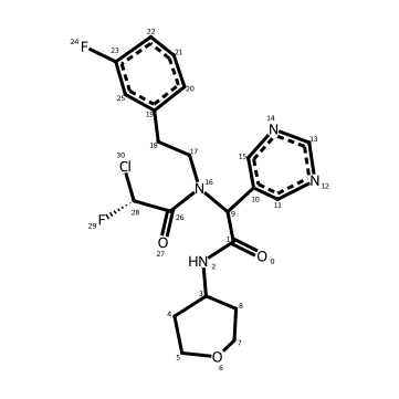 O=C(NC1CCOCC1)C(c1cncnc1)N(CCc1cccc(F)c1)C(=O)[C@H](F)Cl